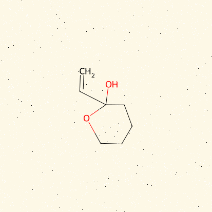 C=CC1(O)CCCCO1